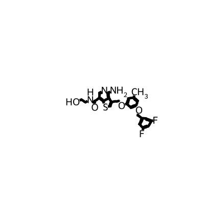 Cc1cc(OCc2cc(F)cc(F)c2)cc(OCc2csc3c(C(=O)NCCO)cnc(N)c23)c1